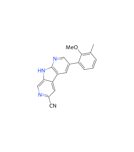 COc1c(C)cccc1-c1cnc2[nH]c3cnc(C#N)cc3c2c1